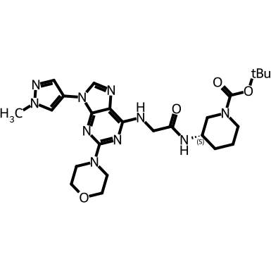 Cn1cc(-n2cnc3c(NCC(=O)N[C@H]4CCCN(C(=O)OC(C)(C)C)C4)nc(N4CCOCC4)nc32)cn1